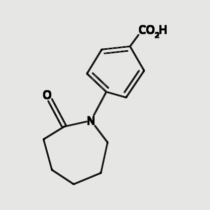 O=C(O)c1ccc(N2CCCCCC2=O)cc1